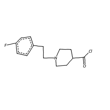 O=C(Cl)C1CCN(CCc2ccc(F)cc2)CC1